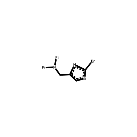 CCN(CC)Cc1csc(Br)n1